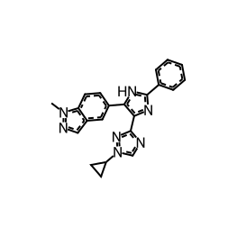 Cn1ncc2cc(-c3[nH]c(-c4ccccc4)nc3-c3ncn(C4CC4)n3)ccc21